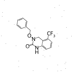 O=C1Nc2cccc(C(F)(F)F)c2CN1OCc1ccccc1